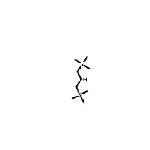 C[Si](C)(C)[CH2][BiH][CH2][Si](C)(C)C